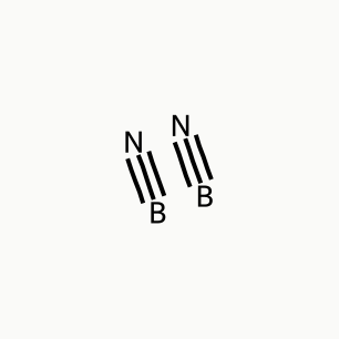 B#N.B#N